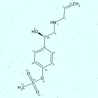 C=CCNC[C@H](O)c1ccc(OS(C)(=O)=O)cc1